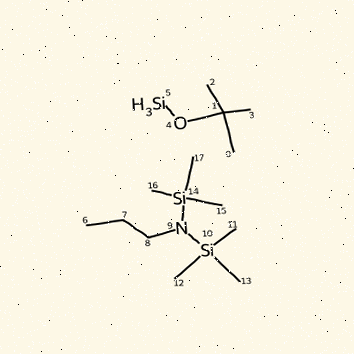 CC(C)(C)O[SiH3].CCCN([Si](C)(C)C)[Si](C)(C)C